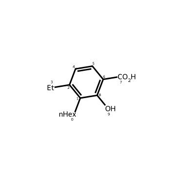 CCCCCCc1c(CC)ccc(C(=O)O)c1O